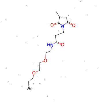 CC(=O)CCOCCOCCNC(=O)CCN1C(=O)C=C(C)C1=O